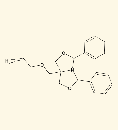 C=CCOCC12COC(c3ccccc3)N1C(c1ccccc1)OC2